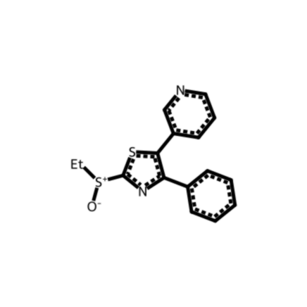 CC[S+]([O-])c1nc(-c2ccccc2)c(-c2cccnc2)s1